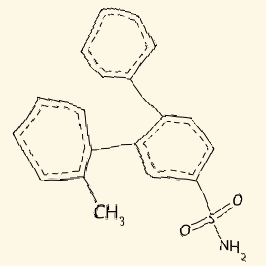 Cc1ccccc1-c1cc(S(N)(=O)=O)ccc1-c1ccccc1